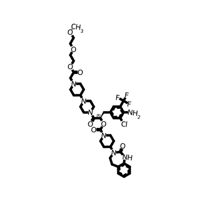 COCCOCCOC(=O)CN1CCC(N2CCN(C(=O)[C@@H](Cc3cc(Cl)c(N)c(C(F)(F)F)c3)OC(=O)N3CCC(N4CCc5ccccc5NC4=O)CC3)CC2)CC1